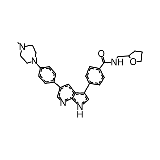 CN1CCN(c2ccc(-c3cnc4[nH]cc(-c5ccc(C(=O)NCC6CCCO6)cc5)c4c3)cc2)CC1